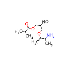 C=C(C)C(=O)OCC(COC(=C)C(C)N)N=O